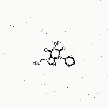 CCCn1c(=O)c2c(ncn2CC(C)(C)C)n(-c2ccccc2)c1=O